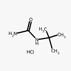 CC(C)(C)NC(N)=O.Cl